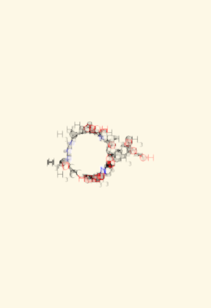 COC1C[C@@H](C)CC[C@@H](C)[C@](C)(O)C(=O)C(=O)N2CCCC[C@H]2C(=O)O[C@H]([C@H](C)C[C@@H]2CC[C@@H](OCCO)[C@H](OC)C2)CC(=O)C(C)/C=C(\C)[C@@H](O)[C@@H](OC)C(=O)C(C)CC(C)/C=C/C=C/C=C/1C